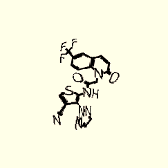 N#Cc1csc(NC(=O)Cn2c(=O)ccc3cc(C(F)(F)F)ccc32)c1-n1nccn1